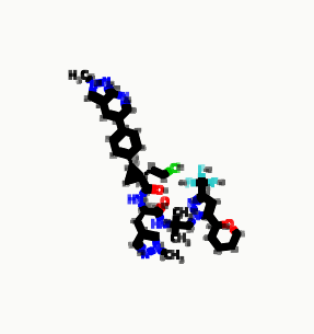 Cn1cc(C[C@@H](NC(=O)[C@@]2(CCCl)C[C@@H]2c2ccc(-c3cnc4nn(C)cc4c3)cc2)C(=O)NC(C)(C)Cn2nc(C(F)(F)F)cc2C2CCCCO2)cn1